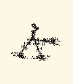 CC(=O)NC1C(OCCCCC(=O)NCCCNC(=O)CCNc2nc(N(CCC(=O)NCCCNC(=O)CCCCOC3OC(COC(C)=O)C(OC(C)=O)C(OC(C)=O)C3NC(C)=O)CCC(=O)NCCCNC(=O)CCCCOC3OC(COC(C)=O)C(OC(C)=O)C(OC(C)=O)C3NC(C)=O)nc(N3CCN(C(=O)CCCC(=O)OCc4ccccc4)CC3)n2)OC(COC(C)=O)C(OC(C)=O)C1OC(C)=O